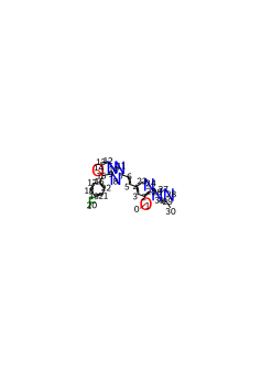 COc1cc(C=Cc2nc3n(n2)CCOC3c2ccc(F)cc2)cnc1-n1cnc(C)c1